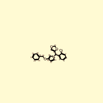 Clc1ccccc1C(C1=COCO1)n1ccc(OCc2ccccc2)c1